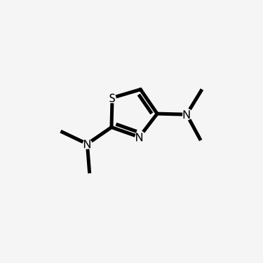 CN(C)c1csc(N(C)C)n1